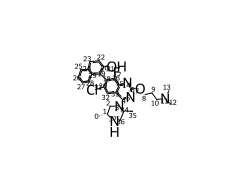 C[C@@H]1CN(c2nc(OCCCN(C)C)nc3c(F)c(-c4c(O)ccc5ccccc45)c(Cl)cc23)[C@@H](C)CN1